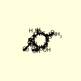 CC(=O)Oc1ccc(C[C@@H]2NC(=O)c3csc(n3)[C@H]([C@H](OC(=O)NCCCC(=O)OC(C)(C)C)c3ccccc3)NC(=O)c3nc(sc3C)[C@H](CC(N)=O)NC(=O)c3csc(n3)-c3ccc(-c4nc(C(N)=O)cs4)nc3-c3csc(n3)-c3csc(n3)[C@@H]3[C@@H](C)[C@@H](O)CN3C2=O)cc1